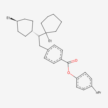 CCCc1ccc(OC(=O)c2ccc(CC([C@H]3CC[C@H](CC)CC3)C3(CC)CCCCC3)cc2)cc1